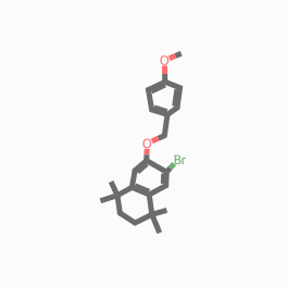 COc1ccc(COc2cc3c(cc2Br)C(C)(C)CCC3(C)C)cc1